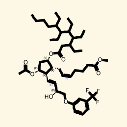 CCCCC(CC)C(CC)C(CC)C(CC)C(CC)CC(=O)O[C@H]1C[C@@H](OC(C)=O)[C@H](/C=C/[C@@H](O)COc2cccc(C(F)(F)F)c2)[C@H]1C/C=C\CCCC(=O)OC